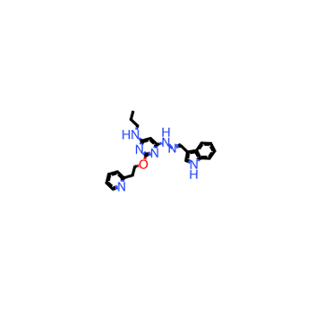 CCCNc1cc(N/N=C/c2c[nH]c3ccccc23)nc(OCCc2ccccn2)n1